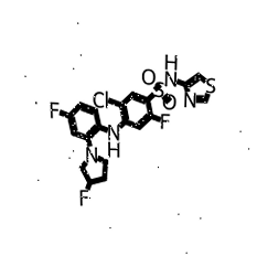 O=S(=O)(Nc1cscn1)c1cc(Cl)c(Nc2ccc(F)cc2N2CCC(F)C2)cc1F